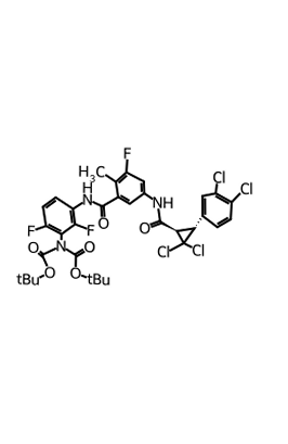 Cc1c(F)cc(NC(=O)[C@H]2[C@H](c3ccc(Cl)c(Cl)c3)C2(Cl)Cl)cc1C(=O)Nc1ccc(F)c(N(C(=O)OC(C)(C)C)C(=O)OC(C)(C)C)c1F